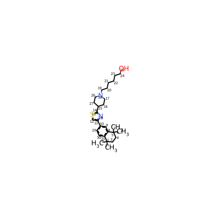 CC1(C)CCC(C)(C)c2cc(-c3csc(C4CCN(CCCCCCO)CC4)n3)ccc21